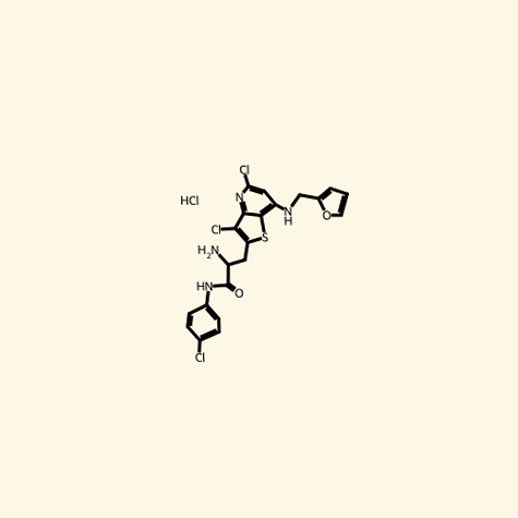 Cl.NC(Cc1sc2c(NCc3ccco3)cc(Cl)nc2c1Cl)C(=O)Nc1ccc(Cl)cc1